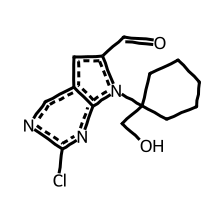 O=Cc1cc2cnc(Cl)nc2n1C1(CO)CCCCC1